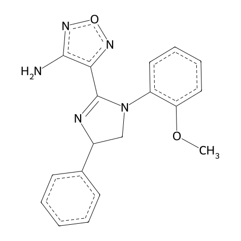 COc1ccccc1N1CC(c2ccccc2)N=C1c1nonc1N